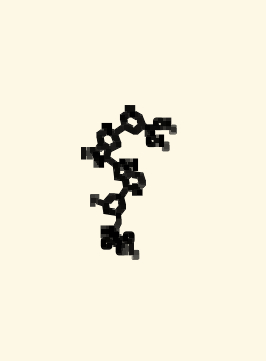 CN(C)c1cncc(-c2cc3c(-c4cc5c(-c6cc(F)cc(CNS(C)(=O)=O)c6)nccc5[nH]4)n[nH]c3cn2)c1